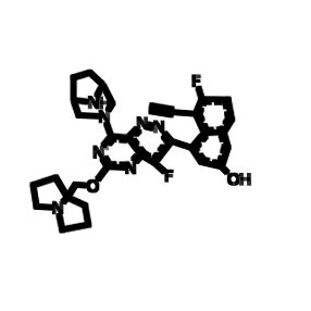 C#Cc1c(F)ccc2cc(O)cc(-c3nnc4c(N5CC6CCC(C5)N6)nc(OCC56CCCN5CCC6)nc4c3F)c12